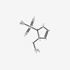 CCN1C=CSC1S(=O)(=O)O